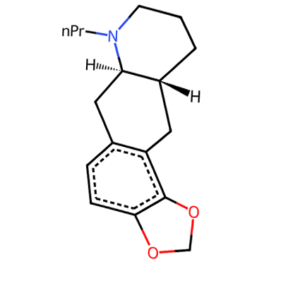 CCCN1CCC[C@@H]2Cc3c(ccc4c3OCO4)C[C@H]21